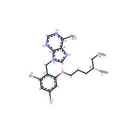 CN[C@H](CCCOc1cc(Cl)cc(Br)c1Cn1cnc2c(N)ncnc21)COC